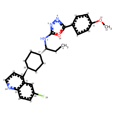 CCC(Nc1nnc(-c2ccc(OC)cc2)o1)[C@H]1CC[C@H](c2ccnc3ccc(F)cc32)CC1